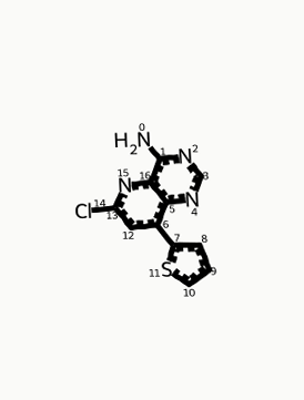 Nc1ncnc2c(-c3cccs3)cc(Cl)nc12